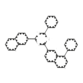 c1ccc(-c2nc(-c3ccc4ccccc4c3)nc(-c3ccc4cccc(-c5ccccc5)c4c3)n2)cc1